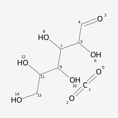 O=C=O.O=CC(O)C(O)C(O)C(O)CO